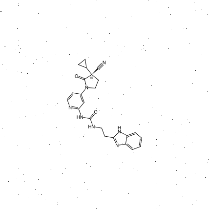 N#C[C@@]1(C2CC2)CCN(c2ccnc(NC(=O)NCCc3nc4ccccc4[nH]3)c2)C1=O